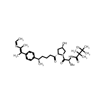 C/C=N\C(C)=C(/C)c1ccc([C@H](C)CCCC(=O)[C@@H]2C[C@@H](O)CN2C(=O)[C@@H](NC(=O)C(C)(C)C(C)(C)CC)C(C)(C)C)cc1